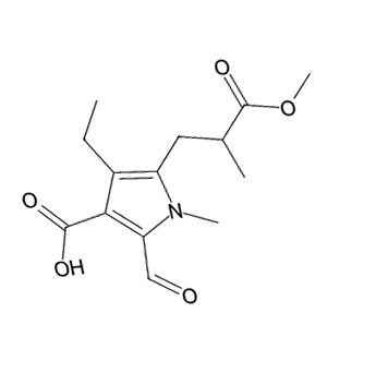 CCc1c(C(=O)O)c(C=O)n(C)c1CC(C)C(=O)OC